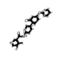 Cc1c(F)cncc1C(=O)Nc1ccc(-c2ccc(Oc3ncccn3)cc2Cl)cn1